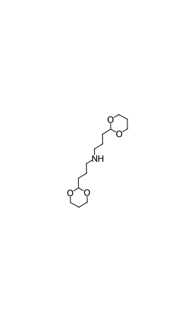 C1COC(CCCNCCCC2OCCCO2)OC1